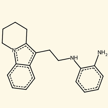 Nc1ccccc1NCCc1c2n(c3ccccc13)CCCC2